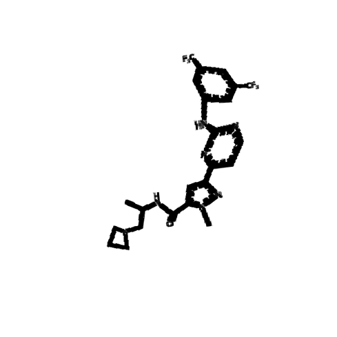 CC(CN1CCC1)NC(=O)c1cc(-c2ccnc(Nc3cc(C(F)(F)F)cc(C(F)(F)F)c3)n2)nn1C